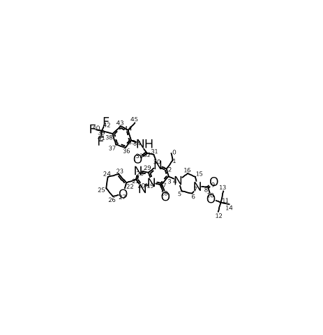 CCc1c(N2CCN(C(=O)OC(C)(C)C)CC2)c(=O)n2nc(C3=CCCCO3)nc2n1CC(=O)Nc1ccc(C(F)(F)F)cc1C